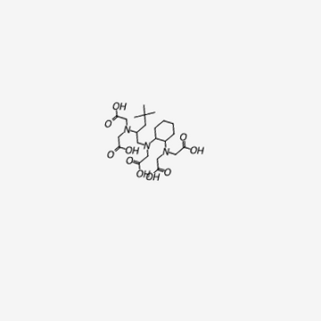 CC(C)(C)CC(CN(CC(=O)O)C1CCCCC1N(CC(=O)O)CC(=O)O)N(CC(=O)O)CC(=O)O